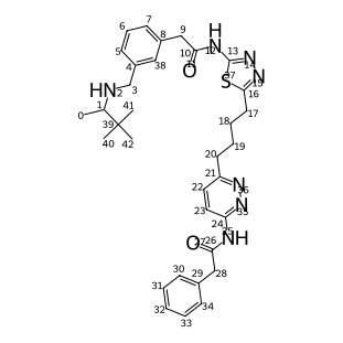 CC(NCc1cccc(CC(=O)Nc2nnc(CCCCc3ccc(NC(=O)Cc4ccccc4)nn3)s2)c1)C(C)(C)C